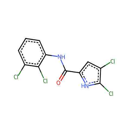 O=C(Nc1cccc(Cl)c1Cl)c1cc(Cl)c(Cl)[nH]1